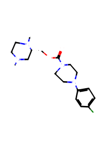 CN1CCN(C)[C@H](COC(=O)N2CCN(c3ccc(F)cc3)CC2)C1